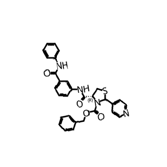 O=C(Nc1ccccc1)c1cccc(NC(=O)[C@@H]2CSC(c3ccncc3)N2C(=O)OCc2ccccc2)c1